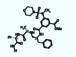 CCNC(=O)[C@@H](NC(=O)[C@H](C)NC[C@H](Cc1ccccc1)NC(=O)c1cc(C(=O)OC)cc(N(C)S(=O)(=O)N2CCOCC2)c1)C(C)C